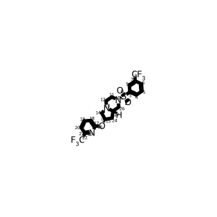 O=S(=O)(c1cccc(C(F)(F)F)c1)N1CCN2C[C@H](Oc3cccc(C(F)(F)F)n3)C[C@H]2C1